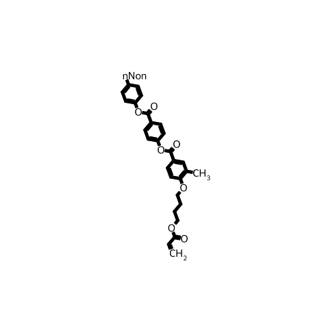 C=CC(=O)OCCCCOc1ccc(C(=O)Oc2ccc(C(=O)Oc3ccc(CCCCCCCCC)cc3)cc2)cc1C